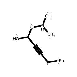 C[SiH](C)OC(O)C#CCC(C)(C)C